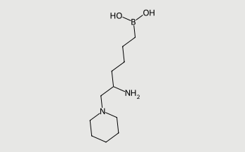 NC(CCCCB(O)O)CN1CCCCC1